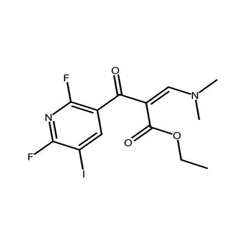 CCOC(=O)/C(=C\N(C)C)C(=O)c1cc(I)c(F)nc1F